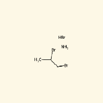 Br.CC(Br)CBr.N